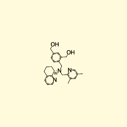 Cc1cnc(CN(Cc2ccc(CO)cc2CO)[C@H]2CCCc3cccnc32)c(C)c1